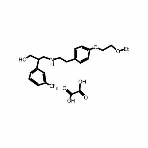 CCOCCOc1ccc(CCNCC(CO)c2cccc(C(F)(F)F)c2)cc1.O=C(O)C(=O)O